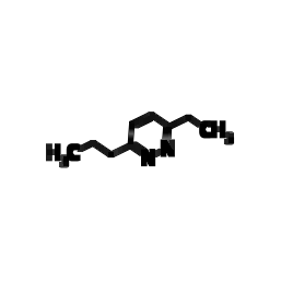 CCCc1ccc(CC)nn1